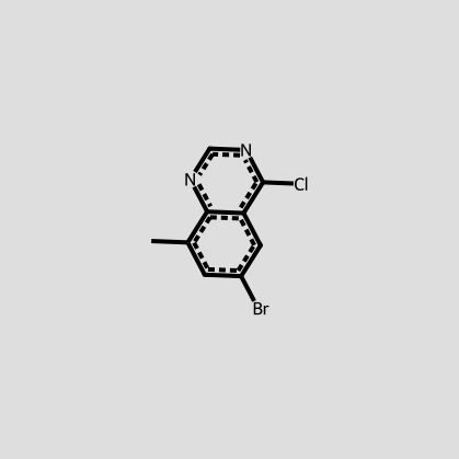 Cc1cc(Br)cc2c(Cl)ncnc12